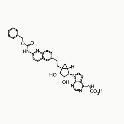 O=C(O)Nc1ncnc2c1ccn2[C@H]1[C@H](O)[C@H](O)[C@]2(CCc3ccc4nc(NC(=O)OCc5ccccc5)ccc4c3)C[C@H]12